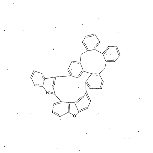 c1ccc2c(c1)Cc1ccc3cc1c1c(cccc1c1ccc4oc5cccc(c6nc7ccccc7c3n6)c5c4c1)Cc1ccccc1-2